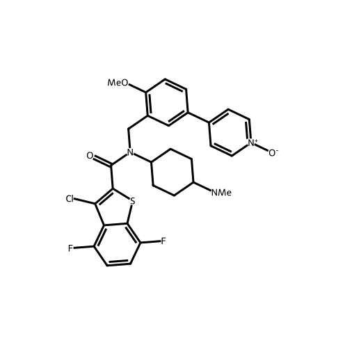 CNC1CCC(N(Cc2cc(-c3cc[n+]([O-])cc3)ccc2OC)C(=O)c2sc3c(F)ccc(F)c3c2Cl)CC1